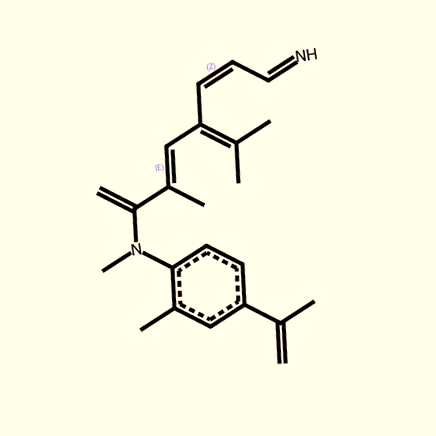 C=C(C)c1ccc(N(C)C(=C)/C(C)=C/C(/C=C\C=N)=C(C)C)c(C)c1